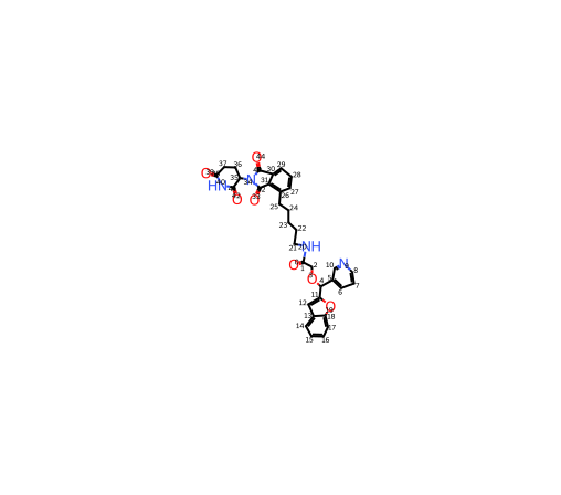 O=C(COC(c1cccnc1)c1cc2ccccc2o1)NCCCCCc1cccc2c1C(=O)N(C1CCC(=O)NC1=O)C2=O